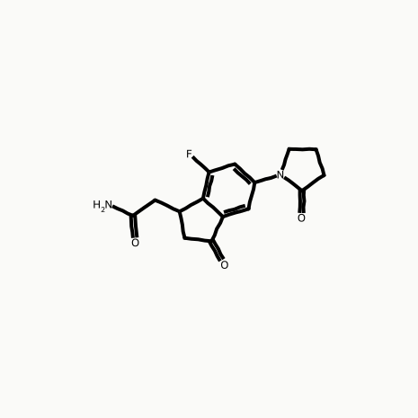 NC(=O)CC1CC(=O)c2cc(N3CCCC3=O)cc(F)c21